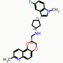 Cc1ccc2c3c(ccc2n1)OC[C@H](CN[C@@H]1CC[C@H](c2cn(C)c4ccc(F)cc24)C1)O3